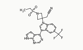 CCS(=O)(=O)N1CC(CC#N)(n2cc(-c3ncnc4[nH]ccc34)c3cc(C(F)(F)F)ccc32)C1